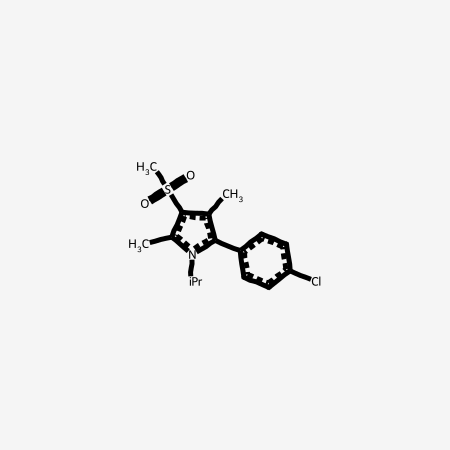 Cc1c(S(C)(=O)=O)c(C)n(C(C)C)c1-c1ccc(Cl)cc1